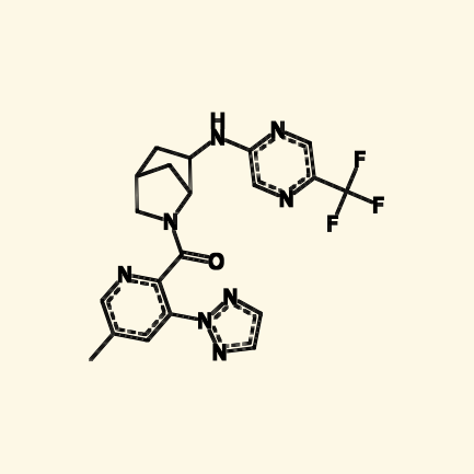 Cc1cnc(C(=O)N2CC3CC(Nc4cnc(C(F)(F)F)cn4)C2C3)c(-n2nccn2)c1